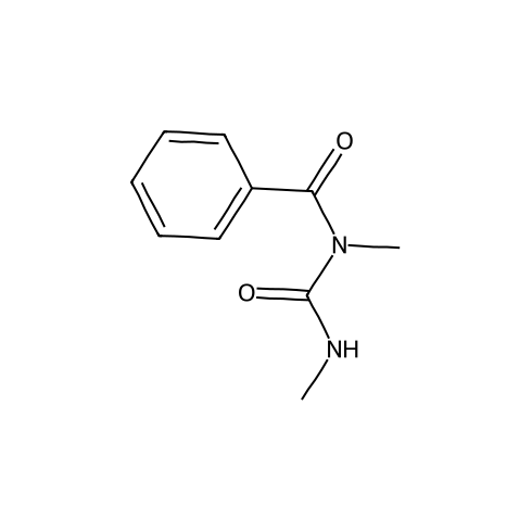 CNC(=O)N(C)C(=O)c1ccccc1